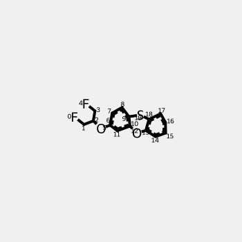 FCC(CF)Oc1ccc2c(c1)Oc1ccccc1S2